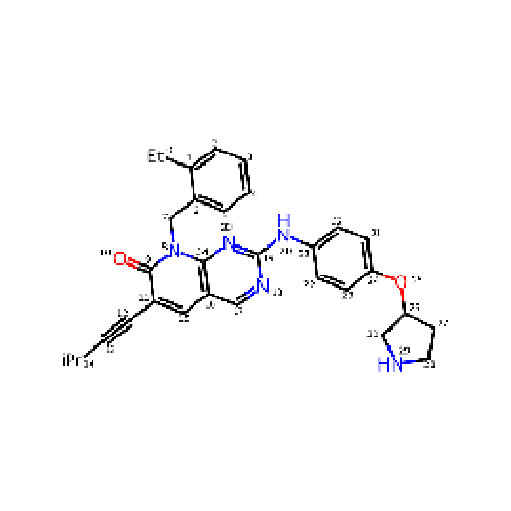 CCc1ccccc1Cn1c(=O)c(C#CC(C)C)cc2cnc(Nc3ccc(OC4CCNC4)cc3)nc21